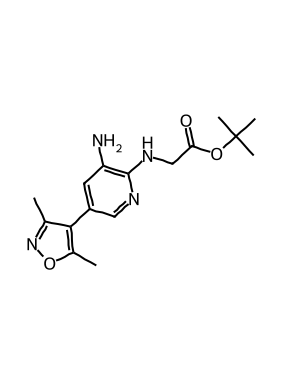 Cc1noc(C)c1-c1cnc(NCC(=O)OC(C)(C)C)c(N)c1